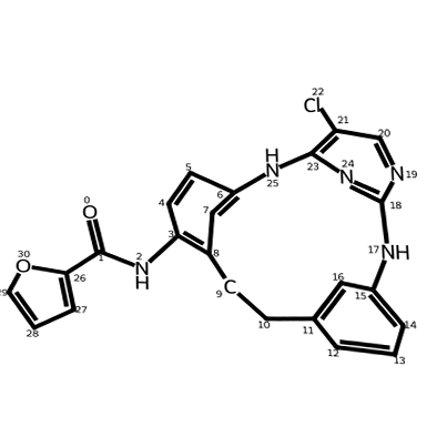 O=C(Nc1ccc2cc1CCc1cccc(c1)Nc1ncc(Cl)c(n1)N2)c1ccco1